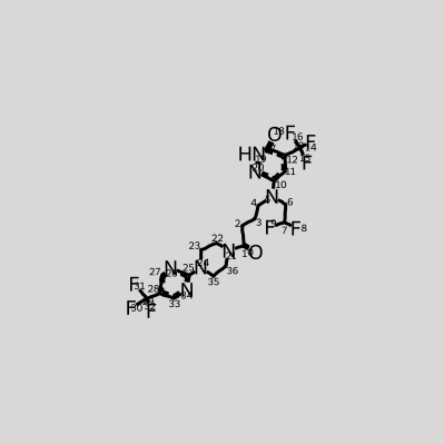 O=C(CCCN(CC(F)F)c1cc(C(F)(F)F)c(=O)[nH]n1)N1CCN(c2ncc(C(F)(F)F)cn2)CC1